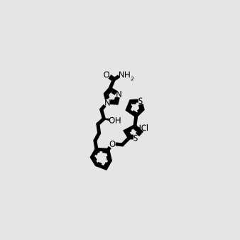 Cl.NC(=O)c1cn(C[C@@H](O)CCCc2ccccc2OCc2cc(-c3ccsc3)cs2)cn1